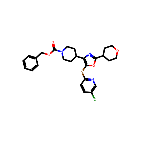 O=C(OCc1ccccc1)N1CCC(c2nc(C3CCOCC3)oc2Sc2ccc(Cl)cn2)CC1